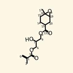 C=C(C)C(=O)OCC(O)COC(=O)C1CCC2(C)OC2C1